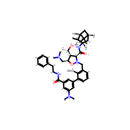 COc1c(CN2O[C@@H](CN(C)C)[C@@H]([C@H](C)O)[C@H]2C(=O)N[C@H]2C[C@H]3C[C@@H]([C@@H]2C)C3(C)C)cccc1-c1cc(C(=O)NCCc2ccccc2)cc(N(C)C)c1